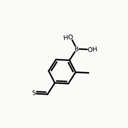 Cc1cc(C=S)ccc1B(O)O